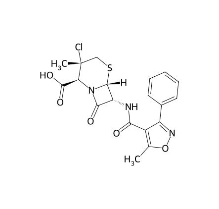 Cc1onc(-c2ccccc2)c1C(=O)N[C@@H]1C(=O)N2[C@@H]1SC[C@@](C)(Cl)[C@@H]2C(=O)O